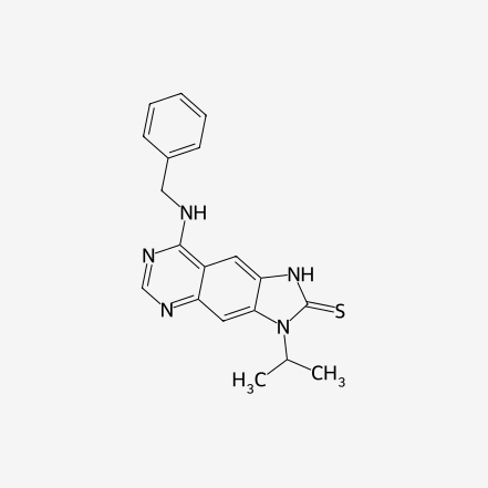 CC(C)n1c(=S)[nH]c2cc3c(NCc4ccccc4)ncnc3cc21